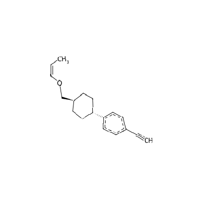 C#Cc1ccc([C@H]2CC[C@H](CO/C=C\C)CC2)cc1